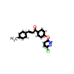 Cc1ccc(C=CC(=O)c2ccc(Oc3ccc(Cl)nn3)cc2)cc1